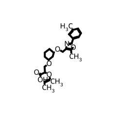 CC=C(C)OC(CO[C@@H]1CCC[C@H](OCc2nc(-c3cccc(C)c3)oc2C)C1)C(=O)O